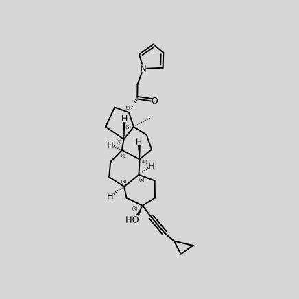 C[C@]12CC[C@H]3[C@@H](CC[C@@H]4C[C@@](O)(C#CC5CC5)CC[C@@H]43)[C@@H]1CC[C@@H]2C(=O)Cn1cccc1